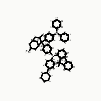 CCC1CC2CC(C)C(c3ccc(N(c4ccccc4)c4ccccc4)cc3)(c3ccc(N(c4ccc(C5CCCCC5)cc4)c4cccc5c4C(C)(C)c4ccccc4-5)cc3)C(C1)C2